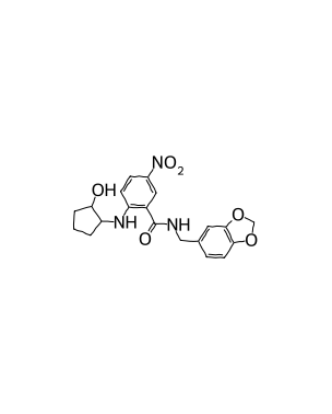 O=C(NCc1ccc2c(c1)OCO2)c1cc([N+](=O)[O-])ccc1NC1CCCC1O